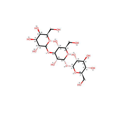 OC[C@H]1OC(O[C@@H]2[C@@H](O)[C@@H](O[C@H]3O[C@H](CO)[C@@H](O)[C@H](O)[C@H]3O)O[C@H](CO)[C@H]2O)[C@H](O)[C@@H](O)[C@H]1O